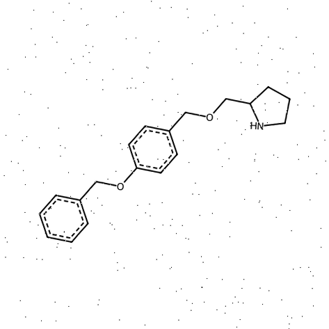 c1ccc(COc2ccc(COCC3CCCN3)cc2)cc1